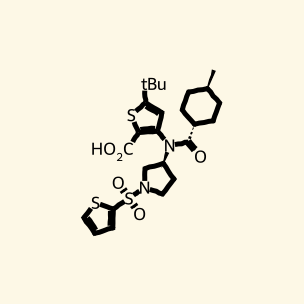 CC(C)(C)c1cc(N(C(=O)[C@H]2CC[C@H](C)CC2)[C@H]2CCN(S(=O)(=O)c3cccs3)C2)c(C(=O)O)s1